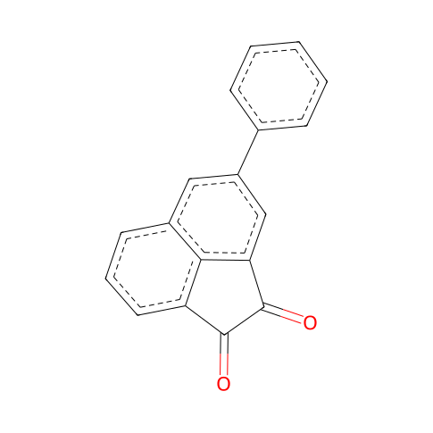 O=C1C(=O)c2cc(-c3ccccc3)cc3cccc1c23